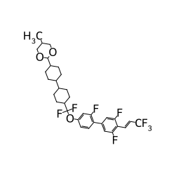 CC1COC(C2CCC(C3CCC(C(F)(F)Oc4ccc(-c5cc(F)c(/C=C/C(F)(F)F)c(F)c5)c(F)c4)CC3)CC2)OC1